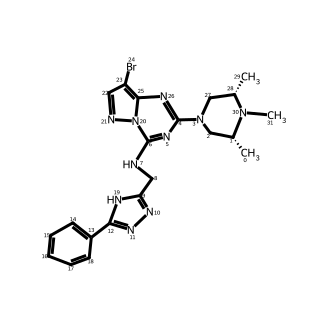 C[C@@H]1CN(c2nc(NCc3nnc(-c4ccccc4)[nH]3)n3ncc(Br)c3n2)C[C@H](C)N1C